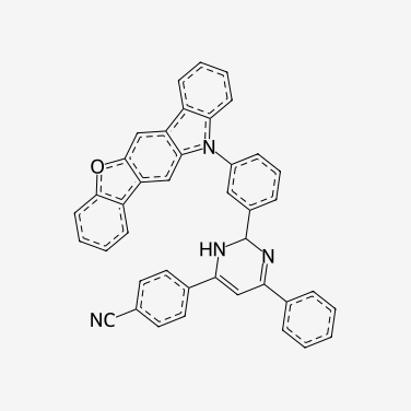 N#Cc1ccc(C2=CC(c3ccccc3)=NC(c3cccc(-n4c5ccccc5c5cc6oc7ccccc7c6cc54)c3)N2)cc1